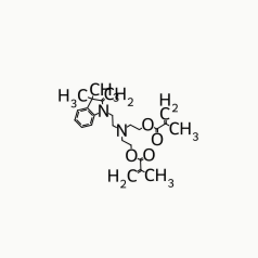 C=C(C)C(=O)OCCN(CCOC(=O)C(=C)C)CCN1C(=C)C(C)(C)c2ccccc21